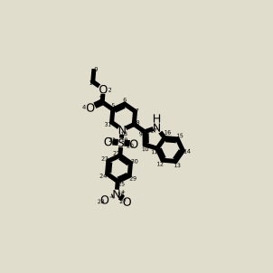 CCOC(=O)C1=CCC(c2cc3ccccc3[nH]2)N(S(=O)(=O)c2ccc([N+](=O)[O-])cc2)C1